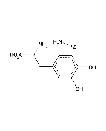 CC(N)=O.NC(Cc1ccc(O)c(O)c1)C(=O)O